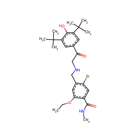 CCOc1cc(CNCC(=O)c2cc(C(C)(C)C)c(O)c(C(C)(C)C)c2)c(Br)cc1C(=O)NC